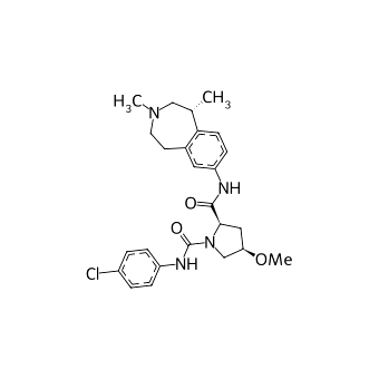 CO[C@@H]1C[C@H](C(=O)Nc2ccc3c(c2)CCN(C)C[C@@H]3C)N(C(=O)Nc2ccc(Cl)cc2)C1